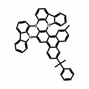 Cc1ccc2c3cc(C(C)(C)c4ccccc4)ccc3c3cc4c5c(c3c2c1)-n1c2ccccc2c2cccc(c21)B5c1cccc2c3ccccc3n-4c12